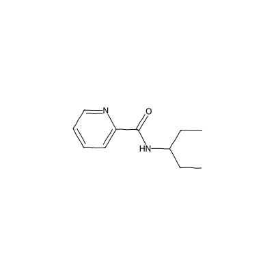 CCC(CC)NC(=O)c1ccccn1